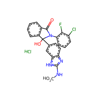 Cl.O=C(O)Nc1nc2ccc(C3(O)c4ccccc4C(=O)N3c3cccc(Cl)c3F)cc2[nH]1